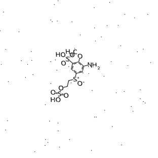 COc1c(N)cc([S+]([O-])CCOS(=O)(=O)O)cc1S(=O)(=O)O